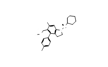 Cc1ccc(-c2c3c(cc(C)c2[C@H](OC(C)(C)C)C(=O)O)N(S(=O)(=O)C2CCCCC2)CC3)cc1